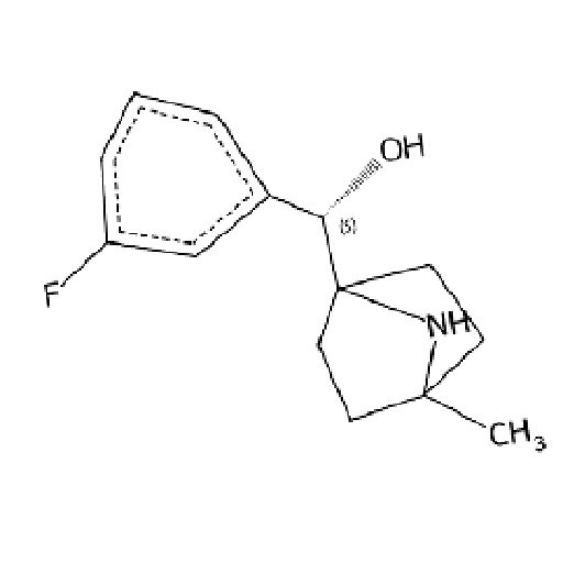 CC12CCC([C@@H](O)c3cccc(F)c3)(CC1)N2